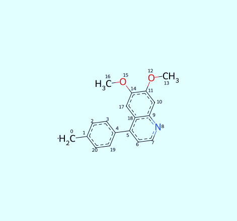 [CH2]c1ccc(-c2ccnc3cc(OC)c(OC)cc23)cc1